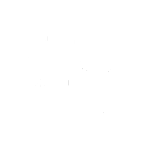 [Cu+2].[O-]c1c(Cl)c(Cl)c(Cl)c(Cl)c1Cl.[O-]c1c(Cl)c(Cl)c(Cl)c(Cl)c1Cl